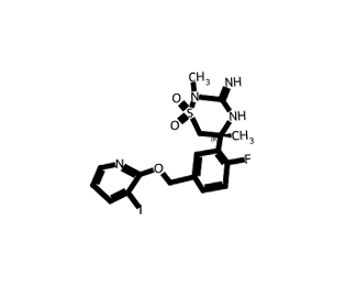 CN1C(=N)N[C@](C)(c2cc(COc3ncccc3I)ccc2F)CS1(=O)=O